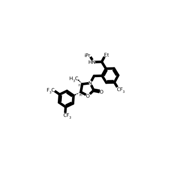 CCC(NC(C)C)c1ccc(C(F)(F)F)cc1CN1C(=O)O[C@H](c2cc(C(F)(F)F)cc(C(F)(F)F)c2)[C@@H]1C